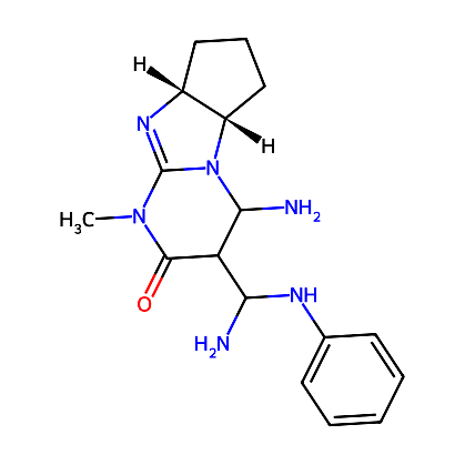 CN1C(=O)C(C(N)Nc2ccccc2)C(N)N2C1=N[C@@H]1CCC[C@@H]12